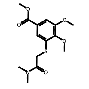 COC(=O)c1cc(OC)c(OC)c(SCC(=O)N(C)C)c1